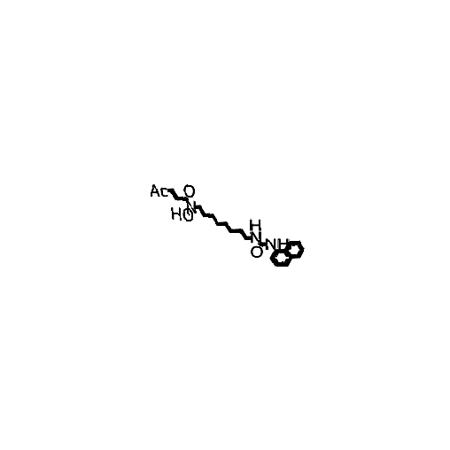 CC(=O)/C=C/C(=O)N(O)CCCCCCCCNC(=O)Nc1cccc2ccccc12